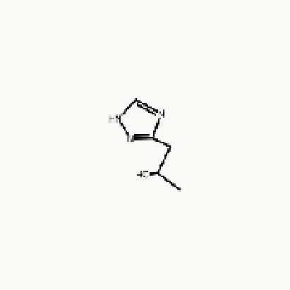 CC(O)Cc1nc[nH]n1